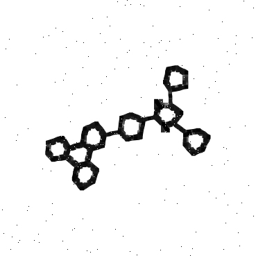 c1ccc(-c2cc(-c3ccccc3)nc(-c3ccc(-c4ccc5c6ccccc6c6ccccc6c5c4)cc3)n2)cc1